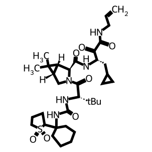 C=CCNC(=O)C(=O)[C@H](CC1CC1)NC(=O)[C@@H]1[C@@H]2[C@H](CN1C(=O)[C@@H](NC(=O)NC1(C3CCCS3(=O)=O)CCCCC1)C(C)(C)C)C2(C)C